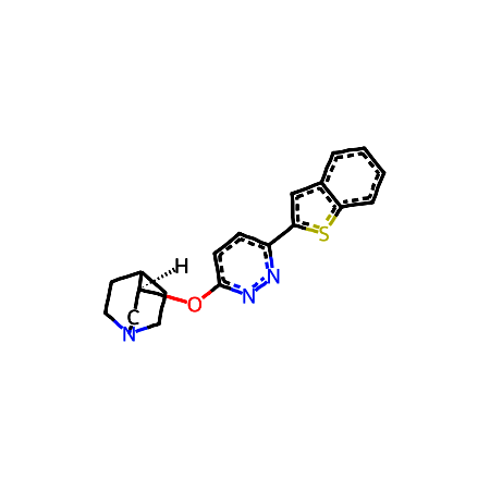 c1ccc2sc(-c3ccc(O[C@H]4CN5CCC4CC5)nn3)cc2c1